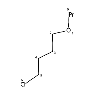 [CH2]C(C)OCCCCCl